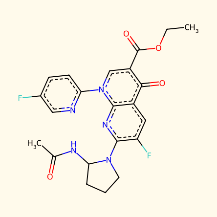 CCOC(=O)c1cn(-c2ccc(F)cn2)c2nc(N3CCCC3NC(C)=O)c(F)cc2c1=O